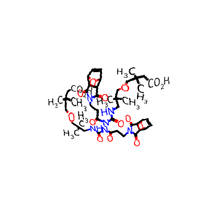 CC(C)(CNC(=O)N(C(=O)CCN1C(=O)C2C3C=CC(O3)C2C1=O)N(C(=O)CCN1C(=O)C2C3C=CC(O3)C2C1=O)C(=O)NCC(C)(C)COCC(C)(C)CC(=O)O)COCC(C)(C)CC(=O)O